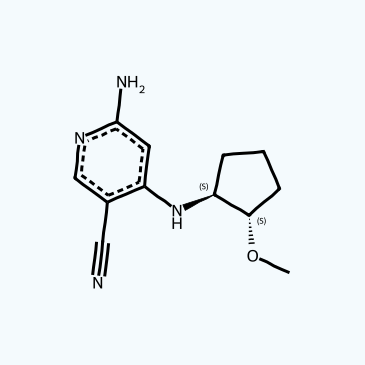 CO[C@H]1CCC[C@@H]1Nc1cc(N)ncc1C#N